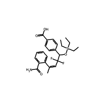 CC[Si](CC)(CC)OC(c1ccc(C(=O)O)cc1)C(F)(F)C=C(C)c1ccccc1C(N)=O